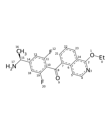 CCOc1nccc2c(C(=O)c3c(F)cc([C@H](C)N)cc3F)cccc12